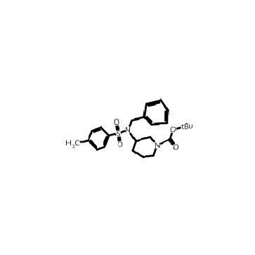 Cc1ccc(S(=O)(=O)N(Cc2ccccc2)C2CCCN(C(=O)OC(C)(C)C)C2)cc1